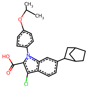 CC(C)Oc1ccc(-n2c(C(=O)O)c(Cl)c3ccc(C4CC5CCC4C5)cc32)cc1